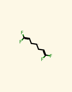 FC(F)=CC[CH]CC=C(F)F